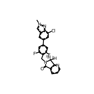 [2H]C1([2H])c2ncccc2C(=O)N1Cc1c(F)cc(-c2cc(Cl)c3nn(C)cc3c2)cc1F